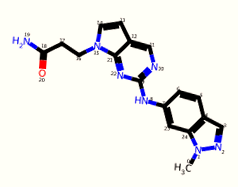 Cn1ncc2ccc(Nc3ncc4ccn(CCC(N)=O)c4n3)cc21